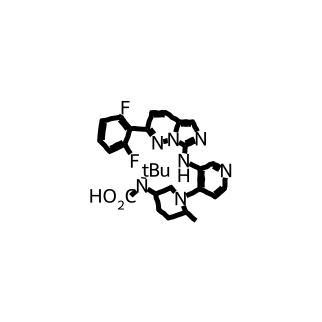 CC1CCC(N(C(=O)O)C(C)(C)C)CN1c1ccncc1Nc1ncc2ccc(-c3c(F)cccc3F)nn12